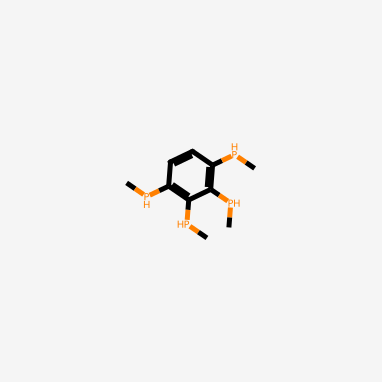 CPc1[c]cc(PC)c(PC)c1PC